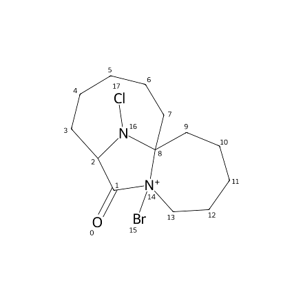 O=C1C2CCCCCC3(CCCCC[N+]13Br)N2Cl